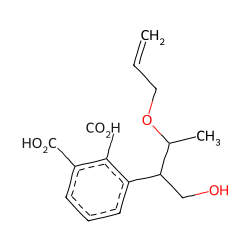 C=CCOC(C)C(CO)c1cccc(C(=O)O)c1C(=O)O